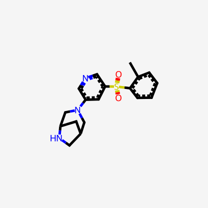 Cc1ccccc1S(=O)(=O)c1cncc(N2CC3CNC(C3)C2)c1